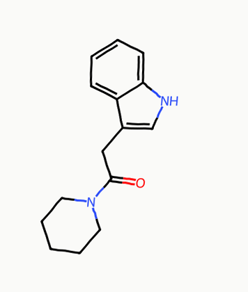 O=C(Cc1c[nH]c2ccccc12)N1CCCCC1